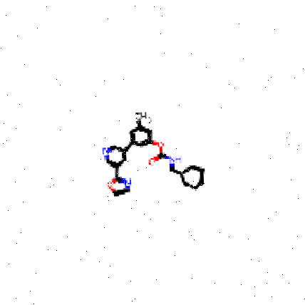 Cc1cc(OC(=O)NCC2CCCCC2)cc(-c2cncc(-c3ncco3)c2)c1